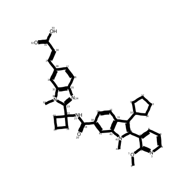 COc1ncccc1-c1c(C2CCCC2)c2ccc(C(=O)NC3(c4nc5ccc(/C=C/C(=O)O)cc5n4C)CCC3)cc2n1C